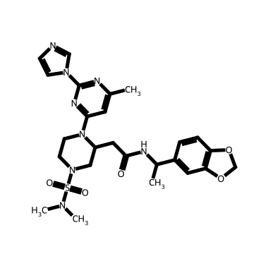 Cc1cc(N2CCN(S(=O)(=O)N(C)C)CC2CC(=O)NC(C)c2ccc3c(c2)OCO3)nc(-n2ccnc2)n1